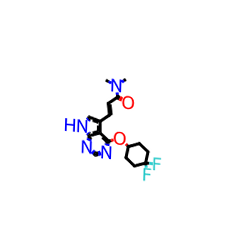 CN(C)C(=O)C=Cc1c[nH]c2ncnc(OC3CCC(F)(F)CC3)c12